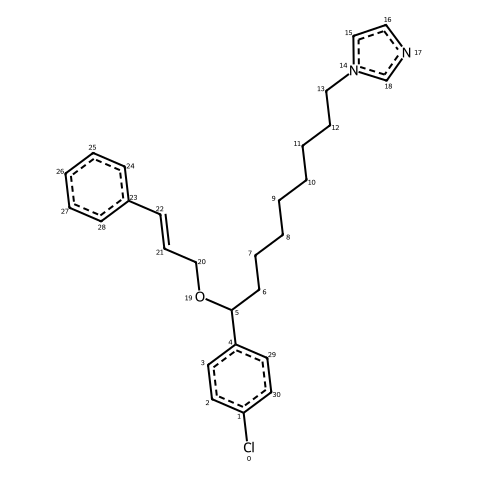 Clc1ccc(C(CCCCCCCCn2ccnc2)OCC=Cc2ccccc2)cc1